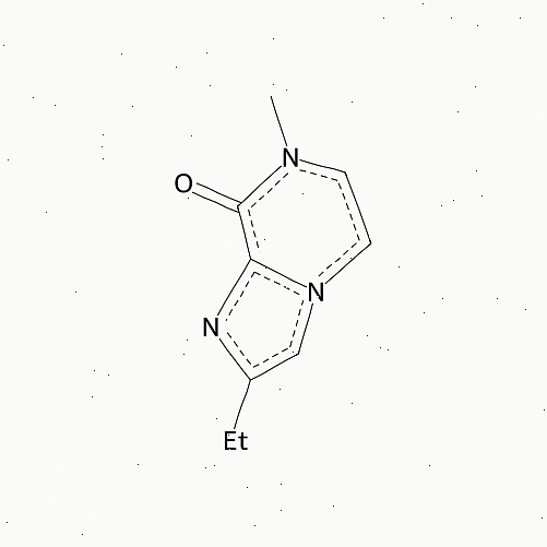 CCc1cn2ccn(C)c(=O)c2n1